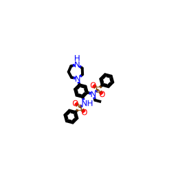 CCN(c1cc(N2CCCNCC2)ccc1NS(=O)(=O)c1ccccc1)S(=O)(=O)c1ccccc1